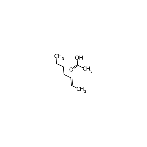 CC(=O)O.CC=CCCCC